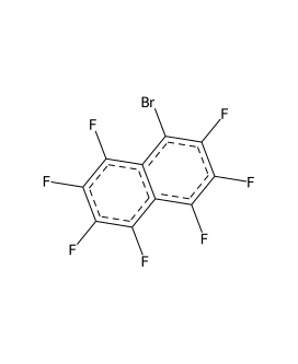 Fc1c(F)c(F)c2c(Br)c(F)c(F)c(F)c2c1F